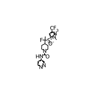 Cn1nc(C(F)(F)F)cc1[S+]([O-])C(C)(F)C1CCN(C(=O)Nc2ccnnc2)CC1